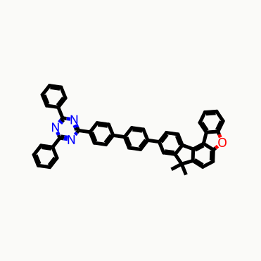 CC1(C)c2cc(-c3ccc(-c4ccc(-c5nc(-c6ccccc6)nc(-c6ccccc6)n5)cc4)cc3)ccc2-c2c1ccc1oc3ccccc3c21